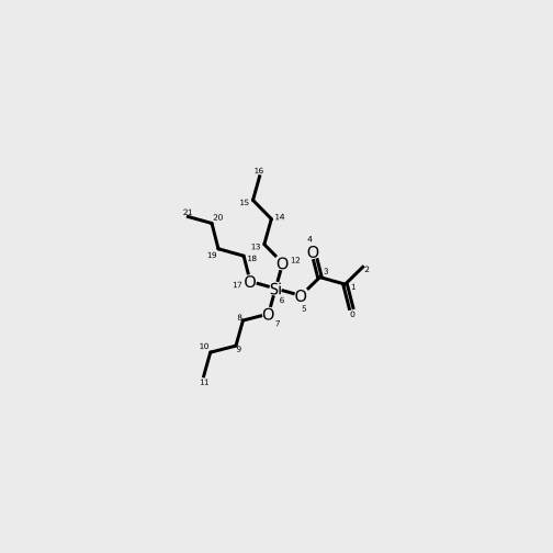 C=C(C)C(=O)O[Si](OCCCC)(OCCCC)OCCCC